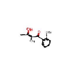 COc1ccccc1C(=O)/C(C#N)=C(/C)O